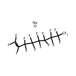 FC(F)=C(F)C(F)(F)C(F)(F)C(F)(F)C(F)(F)C(F)(F)C(F)(F)C(F)(F)F.[Na].[O]